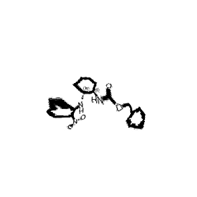 O=C(N[C@@H]1CCCC[C@H]1Nc1ccccc1[N+](=O)[O-])OCc1ccccc1